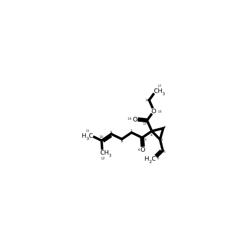 C=CC1CC1(C(=O)CCC=C(C)C)C(=O)OCC